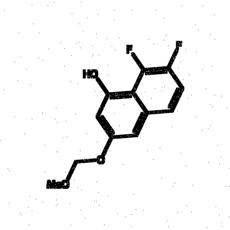 COCOc1cc(O)c2c(F)c(F)ccc2c1